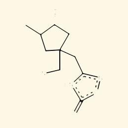 CC1CC(CN)(Cc2noc(=S)[nH]2)C[C@H]1C